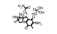 CO[C@@]12[C@H](COC(N)=O)C3=C(C(=O)C(C)=C(N)C3=O)N1C[C@@H]1N[C@@H]12.O=P(O)(O)O